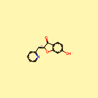 O=C1/C(=C/c2ccccn2)Oc2cc(O)ccc21